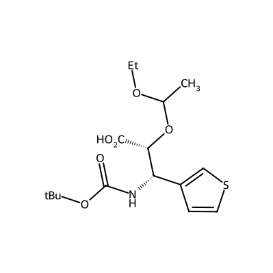 CCOC(C)O[C@@H](C(=O)O)[C@@H](NC(=O)OC(C)(C)C)c1ccsc1